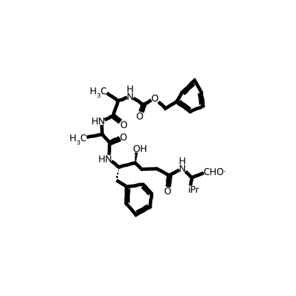 CC(NC(=O)OCc1ccccc1)C(=O)NC(C)C(=O)N[C@@H](Cc1ccccc1)[C@@H](O)CCC(=O)NC([C]=O)C(C)C